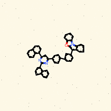 c1cc(-c2ccc(-c3cc(-c4cccc5ccccc45)nc(-c4cccc5ccccc45)n3)cc2)cc(-c2c3ccccc3n3c2oc2ccccc23)c1